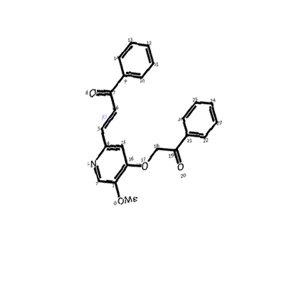 COc1cnc(/C=C/C(=O)c2ccccc2)cc1OCC(=O)c1ccccc1